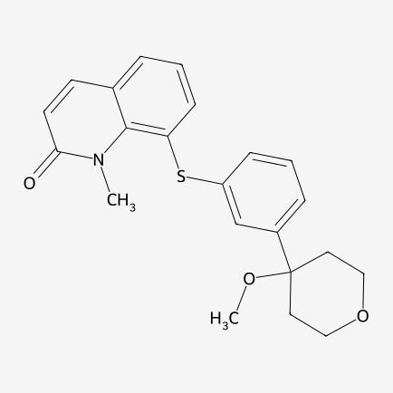 COC1(c2cccc(Sc3cccc4ccc(=O)n(C)c34)c2)CCOCC1